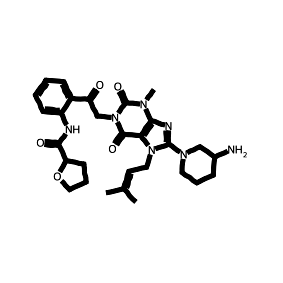 CC(C)=CCn1c(N2CCCC(N)C2)nc2c1c(=O)n(CC(=O)c1ccccc1NC(=O)C1CCCO1)c(=O)n2C